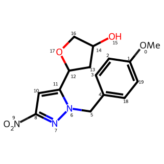 COc1ccc(Cn2nc([N+](=O)[O-])cc2C2CC(O)CO2)cc1